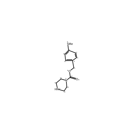 CSc1ccc(COC(=O)N2CCNCC2)cc1